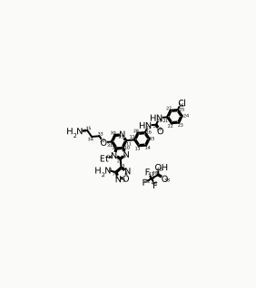 CCn1c(-c2nonc2N)nc2c(-c3cccc(NC(=O)Nc4cccc(Cl)c4)c3)ncc(OCCCN)c21.O=C(O)C(F)(F)F